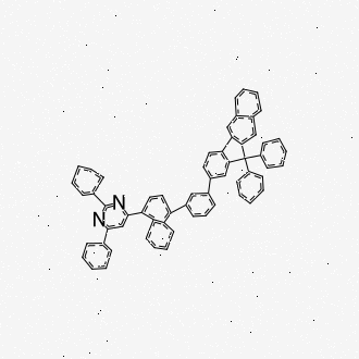 c1ccc(-c2cc(-c3ccc(-c4cccc(-c5ccc6c(c5)C(c5ccccc5)(c5ccccc5)c5cc7ccccc7cc5-6)c4)c4ccccc34)nc(-c3ccccc3)n2)cc1